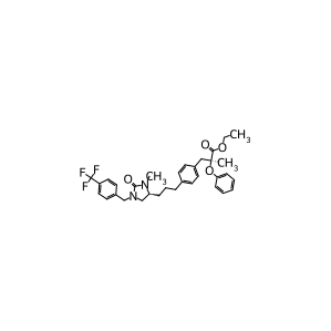 CCOC(=O)[C@](C)(Cc1ccc(CCC[C@H]2CN(Cc3ccc(C(F)(F)F)cc3)C(=O)N2C)cc1)Oc1ccccc1